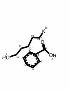 O=C(O)c1ccccc1.OCCCC[CH2][K]